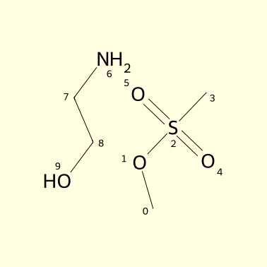 COS(C)(=O)=O.NCCO